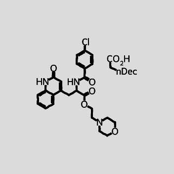 CCCCCCCCCCCC(=O)O.O=C(NC(Cc1cc(=O)[nH]c2ccccc12)C(=O)OCCN1CCOCC1)c1ccc(Cl)cc1